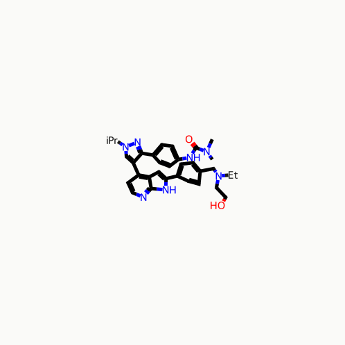 CCN(CCO)Cc1ccc(-c2cc3c(-c4cn(C(C)C)nc4-c4ccc(NC(=O)N(C)C)cc4)ccnc3[nH]2)cc1